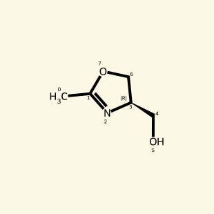 CC1=N[C@H](CO)CO1